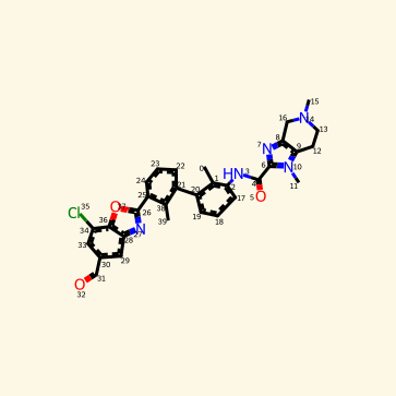 Cc1c(NC(=O)c2nc3c(n2C)CCN(C)C3)cccc1-c1cccc(-c2nc3cc(C=O)cc(Cl)c3o2)c1C